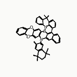 Cc1cc2c(cc1N1c3cc4c(cc3B3c5c1cc1ccccc1c5-c1cccc5c1N3c1ccccc1C5(C)C)Oc1ccccc1O4)C(C)(C)CCC2(C)C